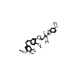 COc1ccc(/C=C\c2cc(OC)c(OC)c(OC)c2)cc1OCC(=O)Nc1nc2ccc(Cl)cc2s1